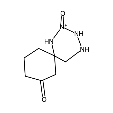 O=C1CCCC2(CNN[N+](=O)N2)C1